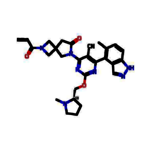 C=CC(=O)N1CC2(CC(=O)N(c3nc(OC[C@@H]4CCCN4C)nc(-c4c(C)ccc5[nH]ncc45)c3C#N)C2)C1